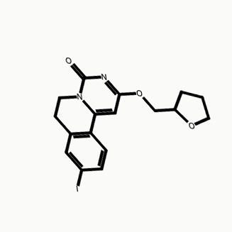 O=c1nc(OCC2CCCO2)cc2n1CCc1cc(I)ccc1-2